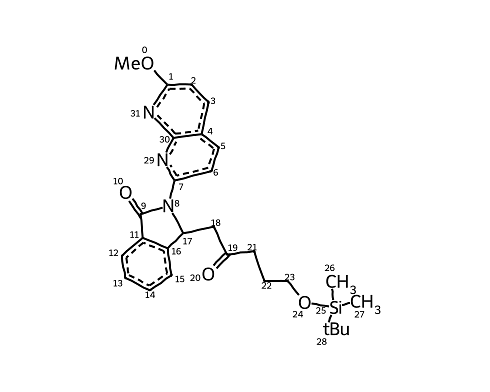 COc1ccc2ccc(N3C(=O)c4ccccc4C3CC(=O)CCCO[Si](C)(C)C(C)(C)C)nc2n1